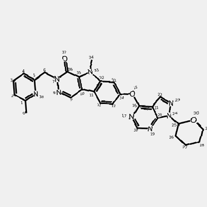 Cc1cccc(Cn2ncc3c4ccc(Oc5ncnc6c5cnn6C5CCCCO5)cc4n(C)c3c2=O)n1